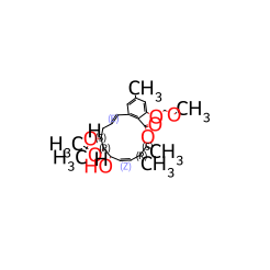 COCOc1cc(C)cc2c1C(=O)O[C@@H](C)[C@H](C)/C=C\C(O)[C@H]1OC(C)(C)O[C@H]1C/C=C/2